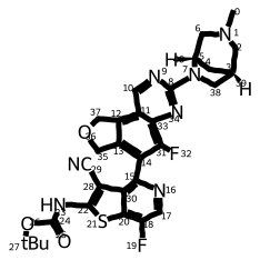 CN1C[C@H]2C[C@@H](C1)N(c1ncc3c4c(c(-c5ncc(F)c6sc(NC(=O)OC(C)(C)C)c(C#N)c56)c(F)c3n1)COC4)C2